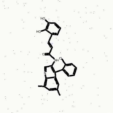 Cc1cc(C)c2ncc(NC(=O)/C=C/c3cccc(O)c3O)c(-c3ccccc3Cl)c2c1